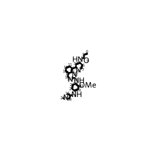 C=CC(=O)Nc1ccnc(-c2cccc3cnc(Nc4ccc(NC5CN(C)C5)cc4OC)nc23)c1